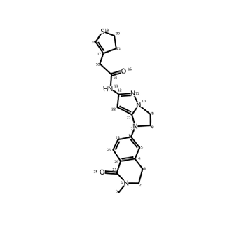 CN1CCc2cc(N3CCn4nc(NC(=O)CC5=CSCC5)cc43)ccc2C1=O